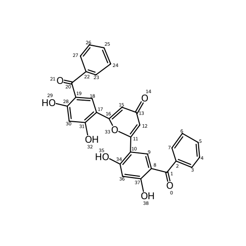 O=C(c1ccccc1)c1cc(-c2cc(=O)cc(-c3cc(C(=O)c4ccccc4)c(O)cc3O)o2)c(O)cc1O